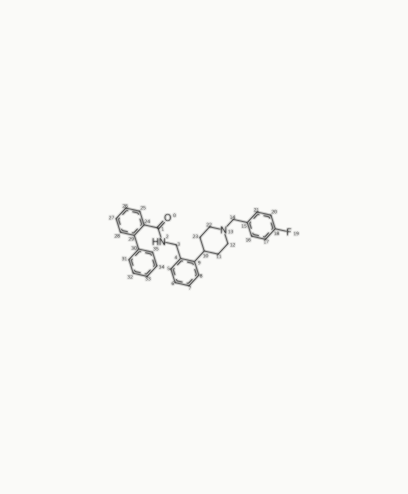 O=C(NCc1ccccc1C1CCN(Cc2ccc(F)cc2)CC1)c1ccccc1-c1ccccc1